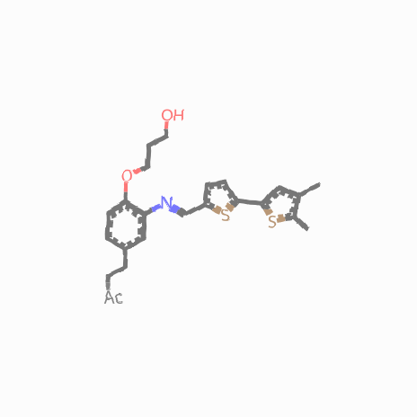 CC(=O)CCc1ccc(OCCCO)c(/N=C/c2ccc(-c3cc(C)c(C)s3)s2)c1